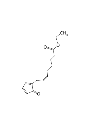 CCOC(=O)CCCC/C=C\CC1=CC=CC1=O